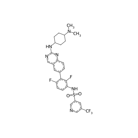 CN(C)C1CCC(Nc2ncc3cc(-c4c(F)ccc(NS(=O)(=O)c5cncc(C(F)(F)F)c5)c4F)ccc3n2)CC1